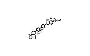 C=CCCOc1ccc(/C=C/c2ccc(-c3ccc(C4CCC(C(C)O)CC4)c(F)c3F)cc2)c(F)c1F